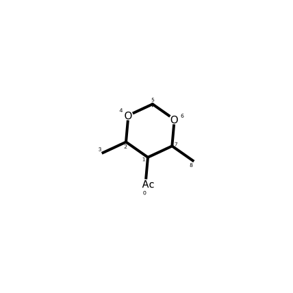 CC(=O)C1C(C)O[CH]OC1C